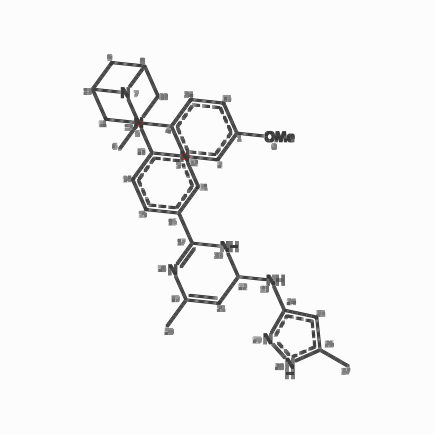 COc1ccc(C(C)N2C3CC2CN(c2ccc(C4=NC(C)=CC(Nc5cc(C)[nH]n5)N4)cn2)C3)cc1